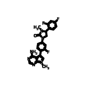 CN1C(=O)N(c2ccc(-c3cn(C)c4ncnc(N)c34)c(F)c2)CC1c1ccc(F)cc1F